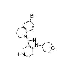 Brc1ccc2c(c1)CCCN2c1nn(C2CCOCC2)c2c1CNCC2